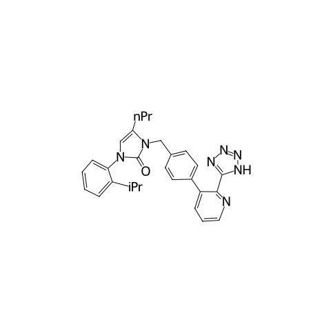 CCCc1cn(-c2ccccc2C(C)C)c(=O)n1Cc1ccc(-c2cccnc2-c2nnn[nH]2)cc1